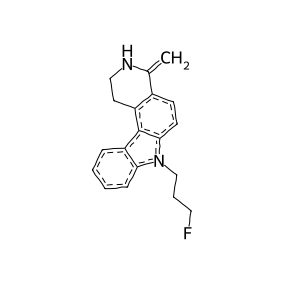 C=C1NCCc2c1ccc1c2c2ccccc2n1CCCF